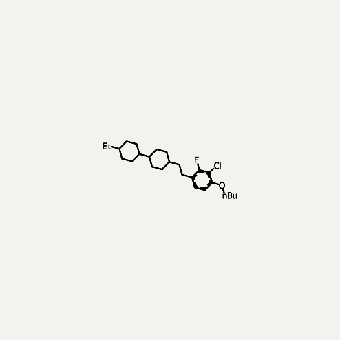 CCCCOc1ccc(CCC2CCC(C3CCC(CC)CC3)CC2)c(F)c1Cl